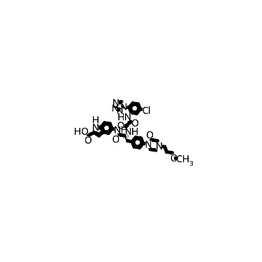 COCCCN1CCN(c2ccc(C[C@H](NC(=O)C(=O)Nc3cc(Cl)ccc3-n3cnnn3)C(=O)Nc3ccc4[nH]c(C(=O)O)cc4c3)cc2)C(=O)C1